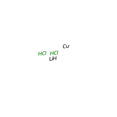 Cl.Cl.[Cu].[LiH]